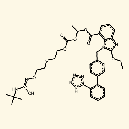 CCOc1nc2cccc(C(=O)OC(C)OC(=O)OCCOCCO/N=[N+](\O)NC(C)(C)C)c2n1Cc1ccc(-c2ccccc2-c2nnn[nH]2)cc1